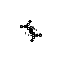 CC1(C)c2cc(N(c3ccc(-c4ccccc4)cc3)c3ccc(-c4ccccc4)cc3)ccc2-c2cc3c(cc21)-c1ccc(N(c2ccc(-c4ccccc4)cc2)c2ccc(-c4ccccc4)cc2)cc1C3(C)C